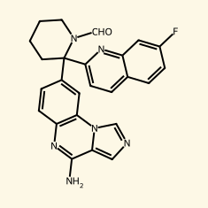 Nc1nc2ccc(C3(c4ccc5ccc(F)cc5n4)CCCCN3C=O)cc2n2cncc12